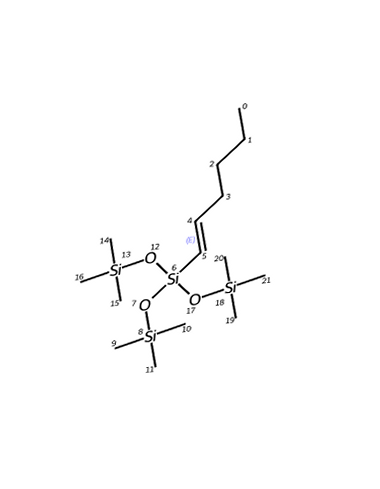 CCCC/C=C/[Si](O[Si](C)(C)C)(O[Si](C)(C)C)O[Si](C)(C)C